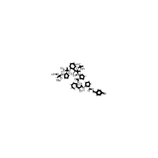 CCCCCC(C)(CCC)OC(C)([C@@H](CC)C1CCCC[C@@H]1NC(C)(OCC)[C@H]1CCC[C@@H]1NC(C)(OCCC)OC(C)(C)C)N(CC)[C@H]1CCC[C@@H]1C(=O)N[C@H]1CCCC[C@H]1[C@@H](CC)C(=O)N[C@H]1CCC[C@@H]1C(=O)OCc1ccc(Br)cc1